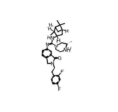 C[C@H]1[C@@H](NC(=Nc2ccc3c(c2)C(=O)N(CCc2ccc(F)cc2F)C3)N2CCN[C@@H](C)C2)C[C@@H]2C[C@@H]1C2(C)C